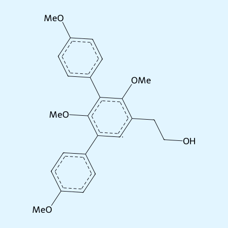 COc1ccc(-c2[c]c(CCO)c(OC)c(-c3ccc(OC)cc3)c2OC)cc1